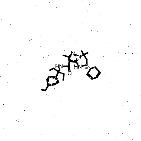 CCc1ccc(C(CC)(CC)NC(=O)c2c(C)nn3c2N[C@@H](C2C=CC=CC2)CC3(C)C)cc1